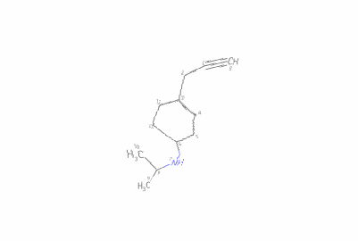 C#CCC1CCC(NC(C)C)CC1